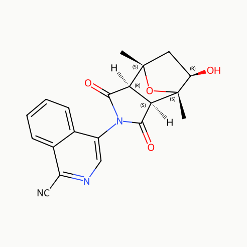 C[C@@]12O[C@@](C)(C[C@H]1O)[C@@H]1C(=O)N(c3cnc(C#N)c4ccccc34)C(=O)[C@@H]12